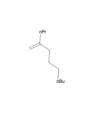 [CH2]CCC(=C)CCCCCCC